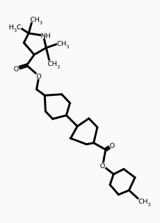 CC1CCC(OC(=O)C2CCC(C3CCC(COC(=O)C4CC(C)(C)NC4(C)C)CC3)CC2)CC1